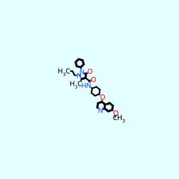 CCCn1c(C)c(C(=O)NC2CCC(Oc3ccnc4cc(OC)ccc34)CC2)c(=O)n1-c1ccccc1